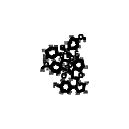 COc1ccc(S(=O)(=O)N(c2cccc(F)c2)C(C(=O)O)c2cc(OC)ccc2S(=O)(=O)N(CC(=O)N2CCCC2c2ccc(F)cc2)c2cccc(F)c2)cc1